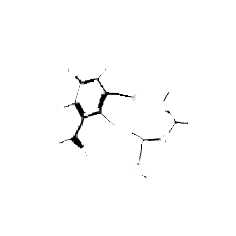 COC(C)NC(C)OC.O=C(O)c1c(F)c(F)c(F)c(F)c1F